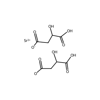 O=C([O-])CC(O)C(=O)O.O=C([O-])CC(O)C(=O)O.[Sr+2]